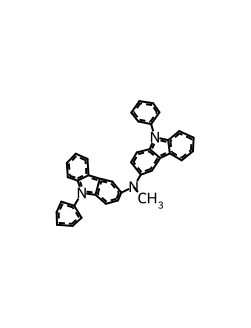 CN(c1ccc2c(c1)c1ccccc1n2-c1ccccc1)c1ccc2c(c1)c1ccccc1n2-c1ccccc1